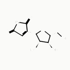 O=C1C=C([C@@H]2O[C@H](CO)[C@@H](O)[C@H]2O)C(=O)N1